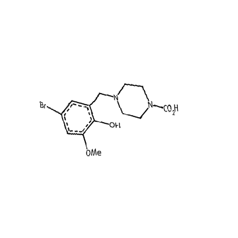 COc1cc(Br)cc(CN2CCN(C(=O)O)CC2)c1O